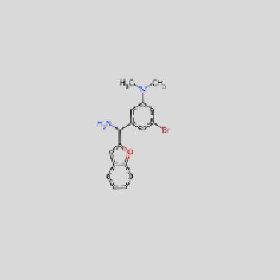 CN(C)c1cc(Br)cc(C(N)c2cc3ccccc3o2)c1